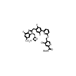 CNC(=O)c1cc(Cl)c(COc2cccc(-c3cc(F)c(Cc4nc5c(F)cc(C(=O)O)cc5n4C[C@@H]4CCO4)cc3F)n2)cn1